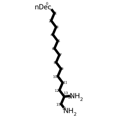 CCCCCCCCCCCCCCCCCCCCCCC(N)CN